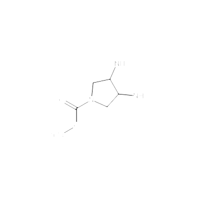 CCCCOC(=O)N1CC(N)C(N)C1